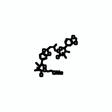 COCCOC(=O)N(C)C(C)C(=O)c1ccc2c(c1)OC(CC(C)COC(=O)N(C)C(C)C(=O)c1ccc3c(c1)OCO3)O2